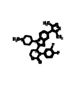 Cc1noc(C)c1-c1ccc2c(c1)nc([C@@H]1CCOC(=O)N1c1ccc(F)c(F)c1)n2C1CCN(C)CC1